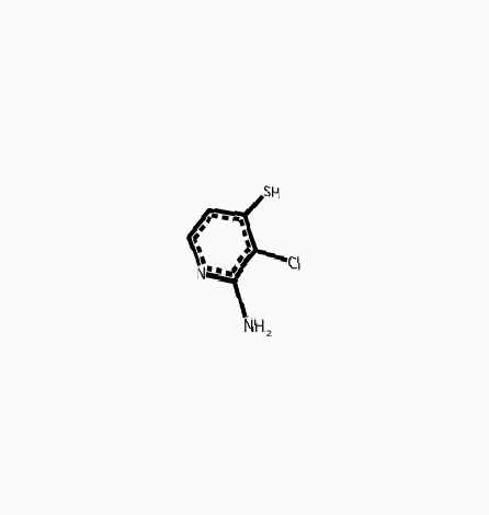 Nc1nccc(S)c1Cl